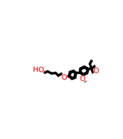 CCC1(c2ccc(-c3ccc(OCCCCCCO)cc3)c(OC)c2)COC1